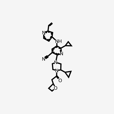 C=Cc1cc(Nc2cc(C#N)c(N3CCN(C(=O)CC4CCO4)C(C4CC4)C3)nc2C2CC2)ccn1